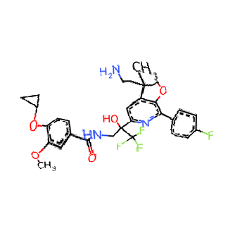 COc1cc(C(=O)NCC(O)(c2cc3c(c(-c4ccc(F)cc4)n2)OCC3(C)CN)C(F)(F)F)ccc1OC1CC1